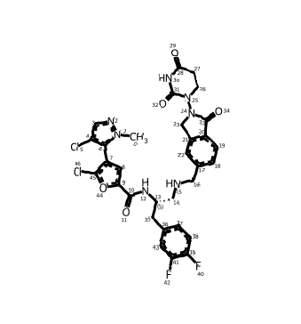 Cn1ncc(Cl)c1-c1cc(C(=O)N[C@H](CNCc2ccc3c(c2)CN(N2CCC(=O)NC2=O)C3=O)Cc2ccc(F)c(F)c2)oc1Cl